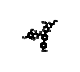 COc1ccc(-c2ccc(C(=O)N[C@@H](CC(=O)OC(C)(C)C)C(=O)OC(C)(C)C)c(NC(=O)Nc3c(C)cc(C)cc3C)c2)cc1